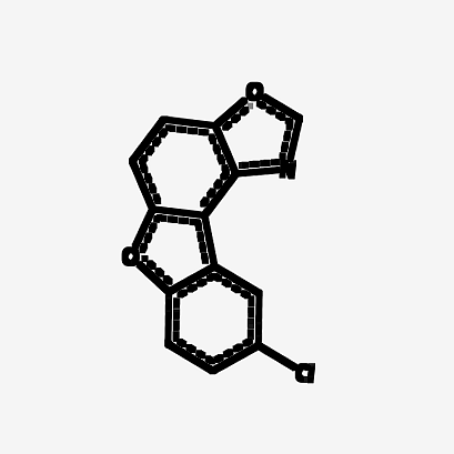 Clc1ccc2oc3ccc4ocnc4c3c2c1